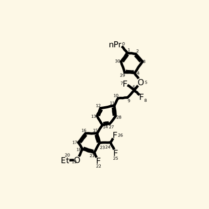 CCCc1ccc(OC(F)(F)CCc2ccc(-c3ccc(OCC)c(F)c3C(F)F)cc2)cc1